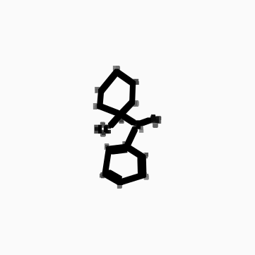 CC(=O)N(c1ccccc1)C1(C)CCCCC1